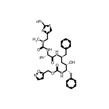 CCCc1nc(CN(C)C(=O)N[C@H](C(=O)N[C@@H](Cc2ccccc2)C[C@H](O)[C@H](Cc2ccccc2)NC(=O)OCc2ccno2)C(C)C)cs1